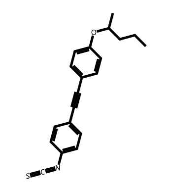 CCCC(C)Oc1ccc(C#Cc2ccc(N=C=S)cc2)cc1